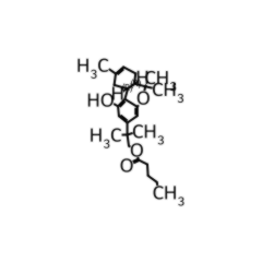 CCCCC(=O)OCC(C)(C)c1cc(O)c2c(c1)OC(C)(C)[C@@H]1CC=C(C)C[C@@H]21